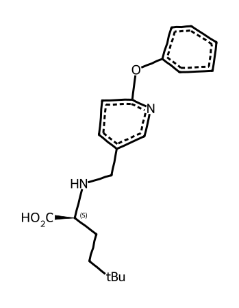 CC(C)(C)CC[C@H](NCc1ccc(Oc2ccccc2)nc1)C(=O)O